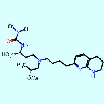 CCN(CC)C(=O)N[C@@H](CCN(CCCCc1ccc2c(n1)NCCC2)C[C@@H](C)OC)C(=O)O